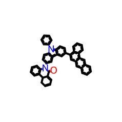 O=C1C2=CC=CCC2c2ccccc2N1c1ccc2c(c1)c1cc(-c3cc4cc5ccccc5cc4c4ccccc34)ccc1n2-c1ccccc1